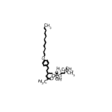 CCCCCCCCCCCOc1ccc(CCC(COP(=O)(O)OCC[N+](C)(C)C)CC(C)=O)cc1